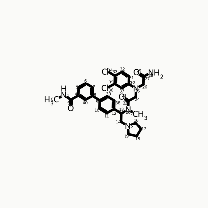 CNC(=O)c1cccc(-c2ccc(C(CN3CCCC3)N(C)C(=O)CN(CC(N)=O)c3ccc(Cl)c(Cl)c3)cc2)c1